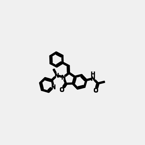 CC(=O)Nc1ccc2c(c1)/C(=C/c1ccccc1)N(N(C)c1ccccn1)C2=O